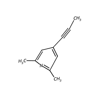 CC#Cc1cc(C)nc(C)c1